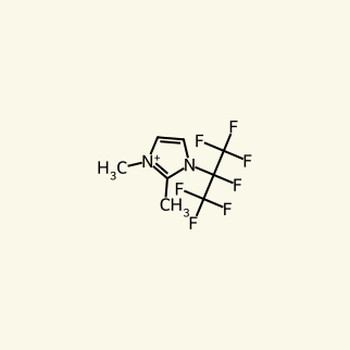 Cc1n(C(F)(C(F)(F)F)C(F)(F)F)cc[n+]1C